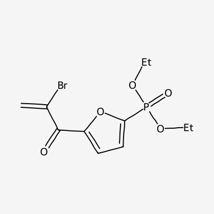 C=C(Br)C(=O)c1ccc(P(=O)(OCC)OCC)o1